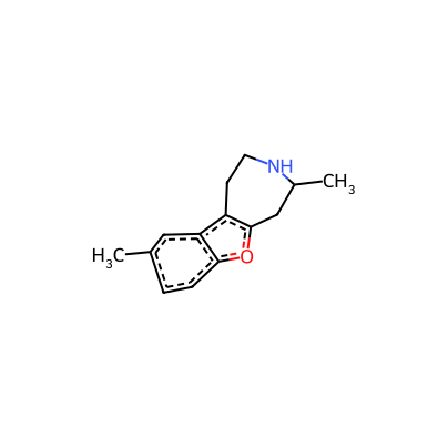 Cc1ccc2oc3c(c2c1)CCNC(C)C3